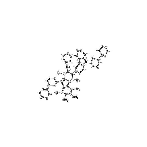 Bc1c(B)c(B)c2c(c1B)c1c(B)c(-c3ccc4c(c3)c3c(-c5ccccc5)cccc3n4-c3cccc(-c4ccccc4)c3)c(B)c(B)c1n2-c1cccc(-c2ccccc2)c1